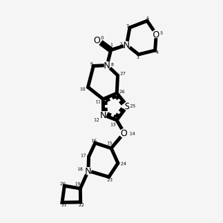 O=C(N1CCOCC1)N1CCc2nc(OC3CCN(C4CCC4)CC3)sc2C1